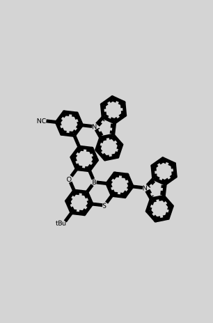 CC(C)(C)c1cc2c3c(c1)Sc1cc(-n4c5ccccc5c5ccccc54)ccc1B3c1ccc(-c3cc(C#N)ccc3-n3c4ccccc4c4ccccc43)cc1O2